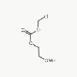 COCCOC(=O)OCCl